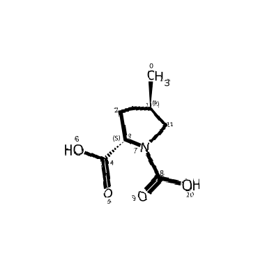 C[C@@H]1C[C@@H](C(=O)O)N(C(=O)O)C1